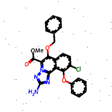 COC(=O)c1c(OCc2ccccc2)c2ccc(Cl)c(Oc3ccccc3)c2c2nc(N)nn12